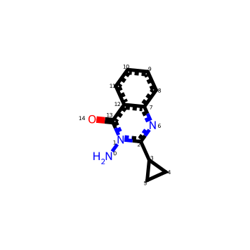 Nn1c(C2CC2)nc2ccccc2c1=O